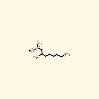 CCCCCCC(C)CN(C)C